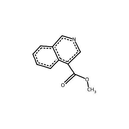 COC(=O)c1cncc2ccccc12